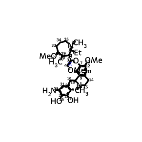 CCC1[C@@H](/C(=C/OC)Oc2cc3c(cc2OC)CCN(C)C3Cc2cc(N)c(O)c(O)c2)[C@@H](C)[C@H](OC)CCCN1C